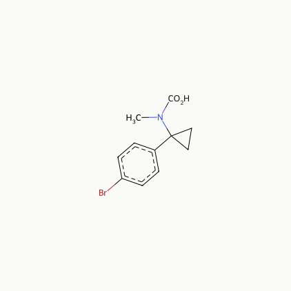 CN(C(=O)O)C1(c2ccc(Br)cc2)CC1